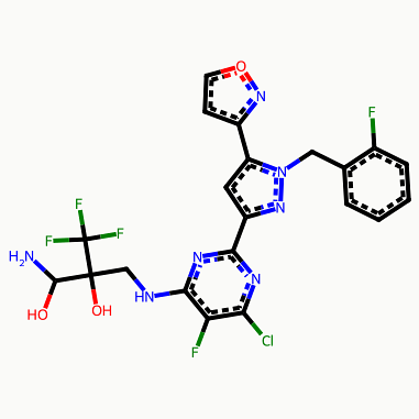 NC(O)C(O)(CNc1nc(-c2cc(-c3ccon3)n(Cc3ccccc3F)n2)nc(Cl)c1F)C(F)(F)F